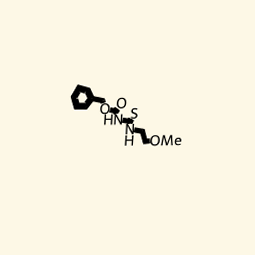 COCCNC(=S)NC(=O)OCc1ccccc1